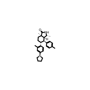 Cc1ccc([C@@H]2[C@@H]3[C@@H](C)NC(=O)[C@]3(C)CC[C@H]2c2ccc(N3CCCC3)cc2C)cc1